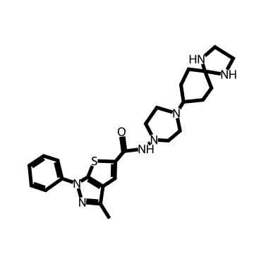 Cc1nn(-c2ccccc2)c2sc(C(=O)NN3CCN(C4CCC5(CC4)NCCN5)CC3)cc12